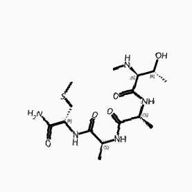 CN[C@H](C(=O)N[C@@H](C)C(=O)N[C@@H](C)C(=O)N[C@@H](CSC)C(N)=O)[C@@H](C)O